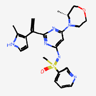 C=C(c1nc(N=S(C)(=O)c2cccnc2)cc(N2CCOC[C@H]2C)n1)c1cc[nH]c1C